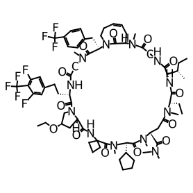 CCO[C@@H]1C[C@H]2C(=O)NC3(CCC3)C(=O)N(C)[C@@H](C3CCCC3)C(=O)N(C)[C@H](C(=O)N(C)C)CC(=O)N(C)[C@@H](CC)C(=O)N[C@@H]([C@@H](C)CC)C(=O)NCC(=O)N(C)[C@H]3C/C=C\CCN(C3=O)[C@@H](Cc3ccc(C(F)(F)F)cc3)C(=O)N(C)CC(=O)N[C@@H](CCc3cc(F)c(C(F)(F)F)c(F)c3)C(=O)N2C1